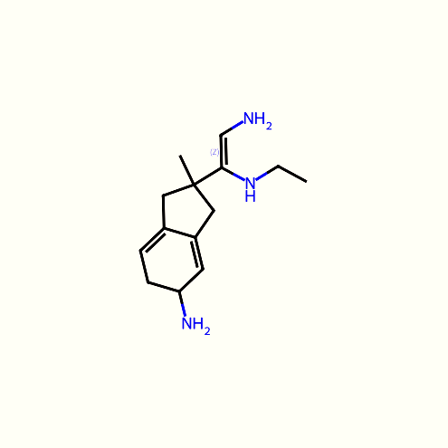 CCN/C(=C\N)C1(C)CC2=CCC(N)C=C2C1